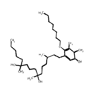 CCCCCCCCOC1=C(C)C(C)C(O)C=C1CCC(C)CCCC(C)(O)CCCC(C)(O)CCCCC